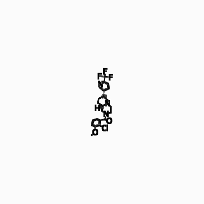 COc1cccc(C(=O)N2CCN3C[C@@H](c4ccc(C(F)(F)F)nc4)CC[C@@H]3C2)c1Cl